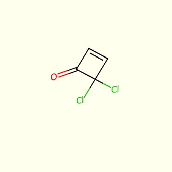 O=C1C=CC1(Cl)Cl